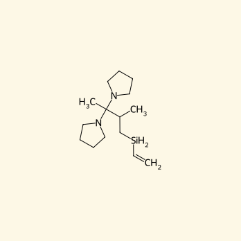 C=C[SiH2]CC(C)C(C)(N1CCCC1)N1CCCC1